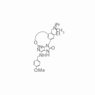 CCc1cc2cc(c1CN(C)C(C)C)CCCCCOc1nc(NCc3ccc(OC)cc3)c3[nH]c(=O)n(c3n1)C2